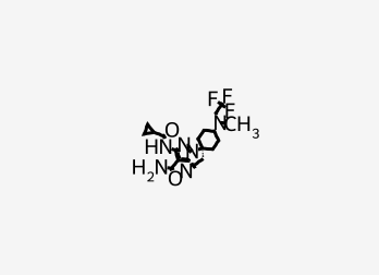 CN(CC(F)(F)F)[C@H]1CC[C@@](CC#N)(n2cc(C(N)=O)c(NC(=O)C3CC3)n2)CC1